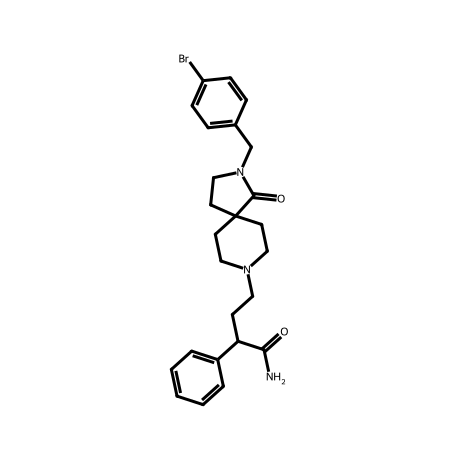 NC(=O)C(CCN1CCC2(CC1)CCN(Cc1ccc(Br)cc1)C2=O)c1ccccc1